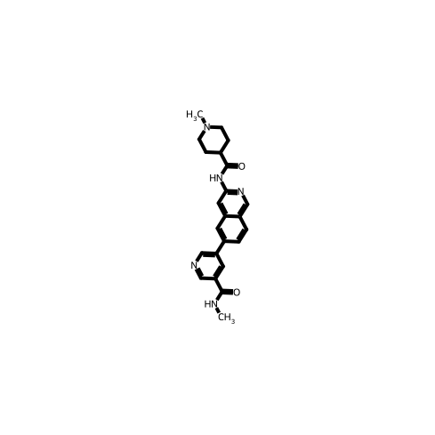 CNC(=O)c1cncc(-c2ccc3cnc(NC(=O)C4CCN(C)CC4)cc3c2)c1